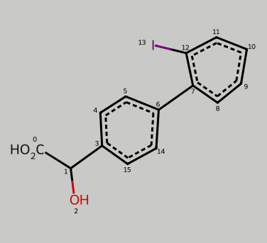 O=C(O)C(O)c1ccc(-c2ccccc2I)cc1